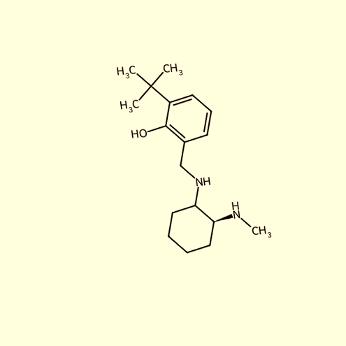 CN[C@H]1CCCCC1NCc1cccc(C(C)(C)C)c1O